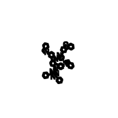 c1ccc(-c2nc(-c3ccccc3)nc(-n3c4ccc(-n5ccc6ccccc65)cc4c4c3ccc3c5cc(-n6ccc7ccccc76)ccc5n(-c5cccc(-c6ccc7oc8ccccc8c7c6)n5)c34)n2)cc1